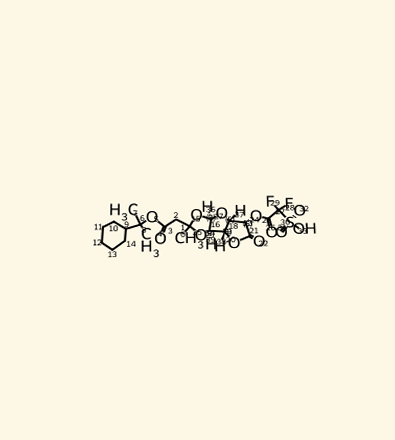 CC1(CC(=O)OC(C)(C)C2CCCCC2)O[C@H]2O[C@H]3[C@H](OC(=O)[C@H]3OC(=O)C(F)(F)S(=O)(=O)O)[C@H]2O1